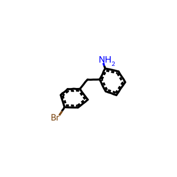 Nc1ccccc1Cc1ccc(Br)cc1